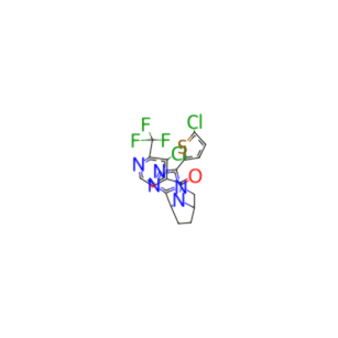 O=C(c1ccnc(C(F)(F)F)c1Cl)N1C2CCC1c1nnc(-c3ccc(Cl)s3)n1C2